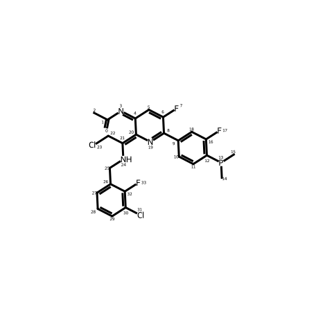 C=C(C)/N=C1/C=C(F)C(c2ccc(P(C)C)c(F)c2)=N/C1=C(/CCl)NCc1cccc(Cl)c1F